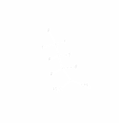 CC(C)C(F)(F)C(F)(F)C(F)(F)F